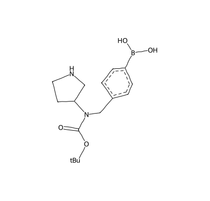 CC(C)(C)OC(=O)N(Cc1ccc(B(O)O)cc1)C1CCNC1